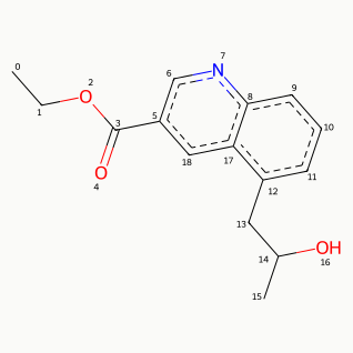 CCOC(=O)c1cnc2cccc(CC(C)O)c2c1